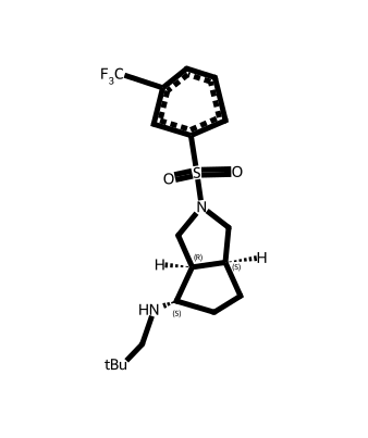 CC(C)(C)CN[C@H]1CC[C@@H]2CN(S(=O)(=O)c3cccc(C(F)(F)F)c3)C[C@@H]21